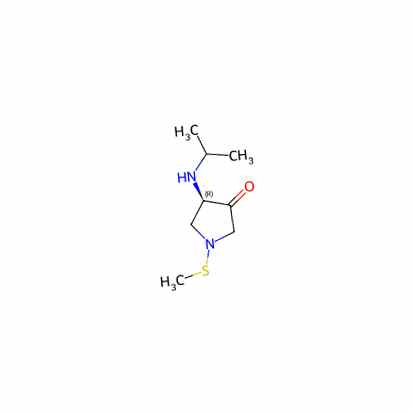 CSN1CC(=O)[C@H](NC(C)C)C1